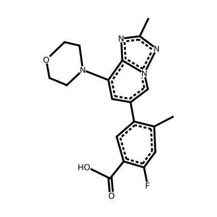 Cc1nc2c(N3CCOCC3)cc(-c3cc(C(=O)O)c(F)cc3C)cn2n1